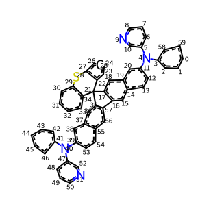 c1ccc(N(c2cccnc2)c2ccc3cc4c(cc3c2)C2(c3ccccc3Sc3ccccc32)c2cc3cc(N(c5ccccc5)c5cccnc5)ccc3cc2-4)cc1